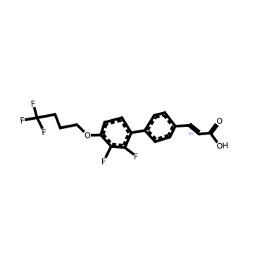 O=C(O)/C=C/c1ccc(-c2ccc(OCCCC(F)(F)F)c(F)c2F)cc1